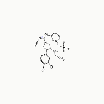 CCNC1CN(/C(=N\C#N)Nc2cccc(CC(F)(F)F)c2)N=C1c1ccc(Cl)c(Cl)c1